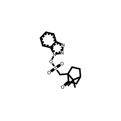 CC1(C)C2CCC1(CS(=O)(=O)On1nnc3ccccc31)C(=O)C2